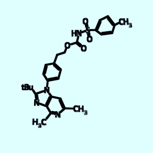 Cc1ccc(S(=O)(=O)NC(=O)OCCc2ccc(-n3c(C(C)(C)C)nc4c(C)nc(C)cc43)cc2)cc1